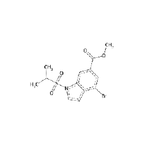 COC(=O)c1cc(Br)c2ccn(S(=O)(=O)C(C)C)c2c1